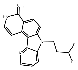 C=C1NC=Cc2c1ccc1c2c2ncccc2n1CCC(F)F